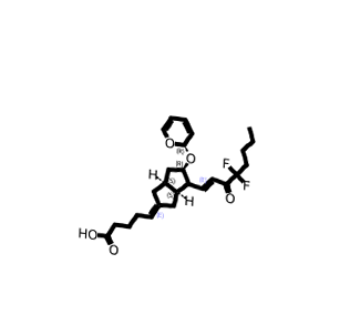 CCCCC(F)(F)C(=O)/C=C/C1[C@H]2C/C(=C/CCCC(=O)O)C[C@H]2C[C@H]1O[C@H]1C=CC=CO1